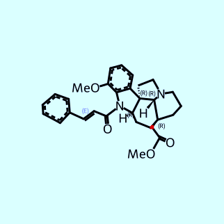 COC(=O)C[C@@]12CCCN3CC[C@]4(c5cccc(OC)c5N(C(=O)/C=C/c5ccccc5)[C@@H]4CC1)[C@H]32